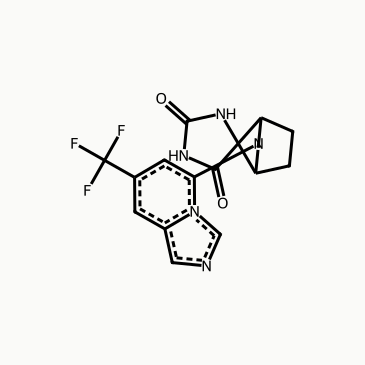 O=C1NC(=O)C2(N1)C1CCC2N(c2cc(C(F)(F)F)cc3cncn23)C1